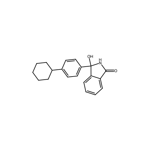 O=C1NC(O)(c2ccc(C3CCCCC3)cc2)c2ccccc21